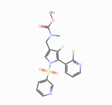 CN(Cc1cn(S(=O)(=O)c2cccnc2)c(-c2cccnc2Cl)c1F)C(=O)OC(C)(C)C